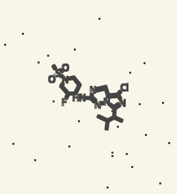 CC(C)C(C)c1nc(Cl)c2cnc(NC3CCN(S(C)(=O)=O)CC3F)nn12